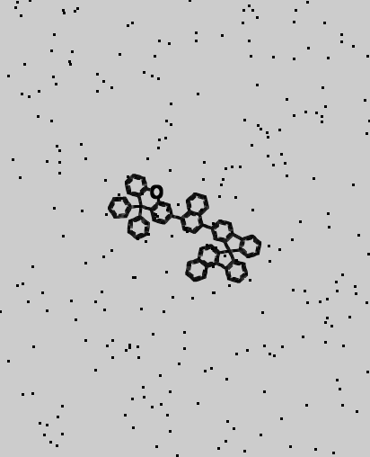 c1ccc(C2(c3ccccc3)c3ccccc3Oc3cc(-c4ccc(-c5ccc6c(c5)C5(c7ccccc7-6)c6ccccc6-c6c5ccc5ccccc65)c5ccccc45)ccc32)cc1